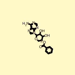 Nc1ncnc2c1ncn2C1OC[C@@H](OC(=O)c2ccccc2)C(O)C1O